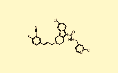 N#Cc1cc(C=CCN2CCc3c(c4cc(Cl)ccc4n3C(=O)NCc3ccnc(Cl)c3)C2)ccc1F